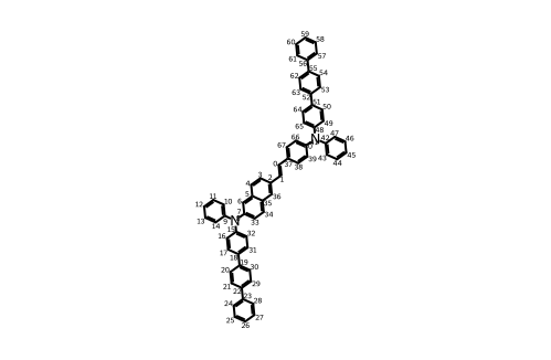 C(=C\c1ccc2cc(N(c3ccccc3)c3ccc(-c4ccc(-c5ccccc5)cc4)cc3)ccc2c1)/c1ccc(N(c2ccccc2)c2ccc(-c3ccc(-c4ccccc4)cc3)cc2)cc1